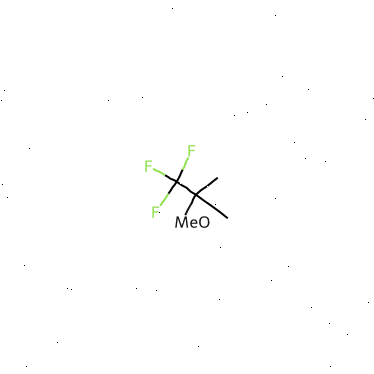 [CH2]OC(C)(C)C(F)(F)F